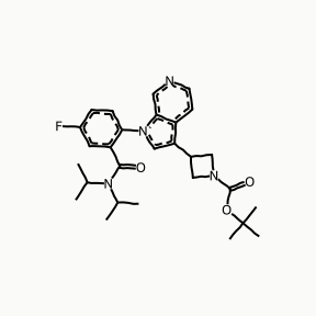 CC(C)N(C(=O)c1cc(F)ccc1-n1cc(C2CN(C(=O)OC(C)(C)C)C2)c2ccncc21)C(C)C